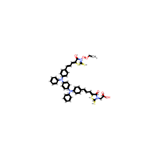 CCOON1C(=O)/C(=C/C=C/c2ccc(N(c3ccccc3)c3ccc(N(c4ccccc4)c4ccc(/C=C/C=C5\SC(=S)N(CC(=O)O)C5=O)cc4)cc3)cc2)SC1=S